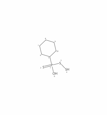 OP(=S)(SS)C1CCCCC1